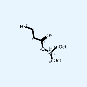 CCCCCCC[CH2][SnH]([CH2]CCCCCCC)[O]C(=O)CCS